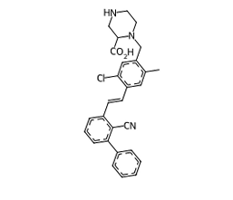 Cc1cc(/C=C/c2cccc(-c3ccccc3)c2C#N)c(Cl)cc1CN1CCNCC1C(=O)O